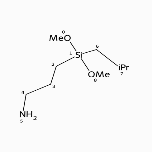 CO[Si](CCCN)(CC(C)C)OC